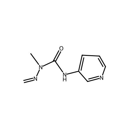 C=NN(C)C(=O)Nc1cccnc1